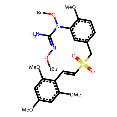 COc1cc(OC)c(C=CS(=O)(=O)Cc2ccc(OC)c(N(OC(C)(C)C)C(N)=NOC(C)(C)C)c2)c(OC)c1